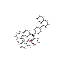 c1ccc(N(c2ccc(-c3cccc4ccccc34)cc2)c2ccccc2-c2cccc3ccc4oc5ccccc5c4c23)cc1